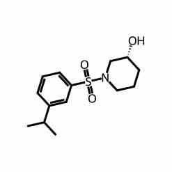 CC(C)c1cccc(S(=O)(=O)N2CCC[C@@H](O)C2)c1